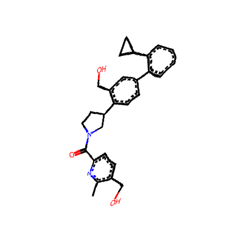 Cc1nc(C(=O)N2CCC(c3ccc(-c4ccccc4C4CC4)cc3CO)C2)ccc1CO